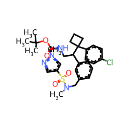 CN(Cc1cccc(C(CNC(=O)OC(C)(C)C)C2(c3ccc(Cl)cc3)CCC2)c1)S(=O)(=O)c1cnn(C)c1